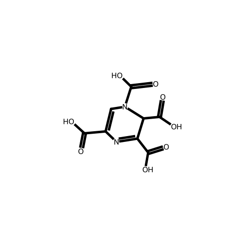 O=C(O)C1=CN(C(=O)O)C(C(=O)O)C(C(=O)O)=N1